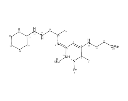 CCSC(C)/C(=C\C(=N/C(C)CNNC1CCCCO1)NC(C)(C)C)NCCOC